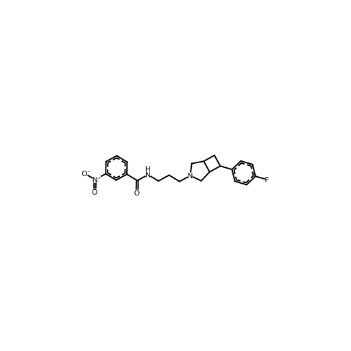 O=C(NCCCN1CC2CC(c3ccc(F)cc3)C2C1)c1cccc([N+](=O)[O-])c1